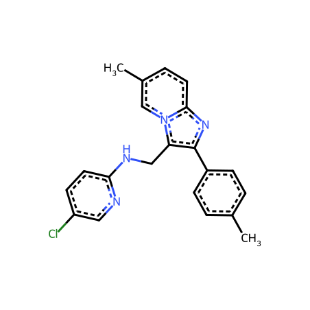 Cc1ccc(-c2nc3ccc(C)cn3c2CNc2ccc(Cl)cn2)cc1